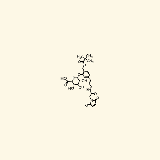 CC(C)(C)C(=O)OCc1ccc(CCCNC(=O)CN2C(=O)C=CC2=O)cc1OC1O[C@H](C(=O)O)[C@@H](O)[C@H](O)[C@H]1O